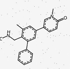 Cc1cc(-c2ccc(=O)n(C)c2)cc(-c2ccccc2)c1CNC#N